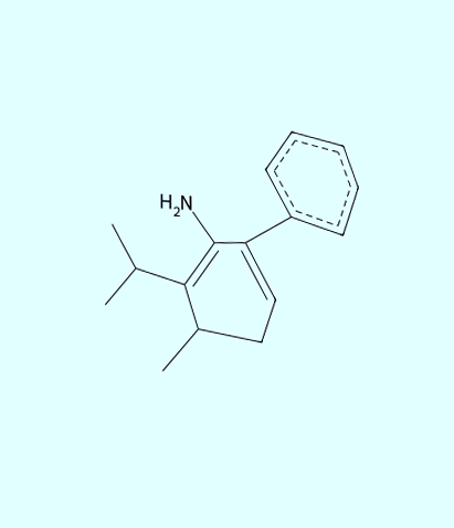 CC(C)C1=C(N)C(c2ccccc2)=CCC1C